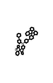 c1ccc(-c2cccc(N(c3ccc(-c4ccc5c(c4)C4(c6ccccc6-c6ccccc64)c4ccccc4-5)cc3)c3ccc4c(c3)C3(c5ccccc5Oc5ccccc53)c3ccccc3-4)c2)cc1